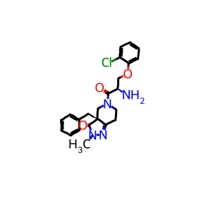 CN1N=C2CCN(C(=O)[C@H](N)COc3ccccc3Cl)C[C@@]2(Cc2ccccc2)C1=O